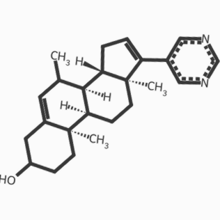 CC1C=C2CC(O)CC[C@]2(C)[C@@H]2CC[C@]3(C)C(c4cncnc4)=CC[C@H]3[C@H]12